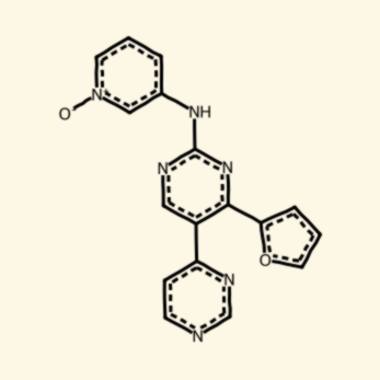 [O-][n+]1cccc(Nc2ncc(-c3ccncn3)c(-c3ccco3)n2)c1